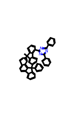 CC1(C)c2cc(C3(c4ccccc4)c4ccccc4-c4ccc5ccccc5c43)ccc2-c2c(-c3nc(-c4ccccc4)nc(-c4ccccc4)n3)cccc21